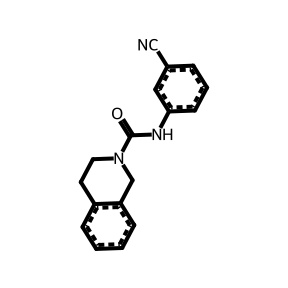 N#Cc1cccc(NC(=O)N2CCc3ccccc3C2)c1